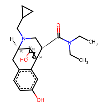 CCN(CC)C(=O)[C@@H]1C[C@]23CCN(CC4CC4)[C@H](Cc4ccc(O)cc42)[C@]3(O)C1